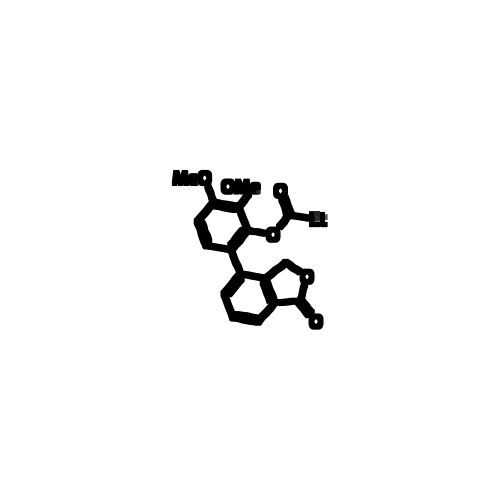 CCC(=O)Oc1c(-c2cccc3c2COC3=O)ccc(OC)c1OC